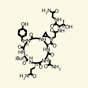 CC[C@H](C)[C@@H]1NC(=O)[C@H](Cc2ccc(O)cc2)NC(=O)CNC[C@@H](C(=O)N(CC(=O)N[C@H](C(=O)NCC(N)=O)[C@@H](C)O)C2CC2)NC(=O)[C@H](CC(N)=O)NC(=O)[C@H](CCC(N)=O)NC1=O